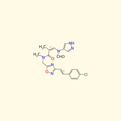 C/C(=C/N(C=O)c1cn[nH]c1)C(=O)N(C)Cc1nc(/C=C/c2ccc(Cl)cc2)no1